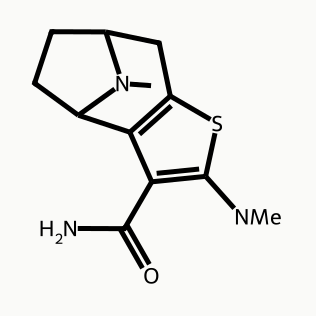 CNc1sc2c(c1C(N)=O)C1CCC(C2)N1C